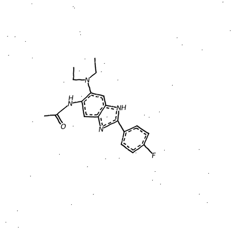 CCN(CC)c1cc2[nH]c(-c3ccc(F)cc3)nc2cc1NC(C)=O